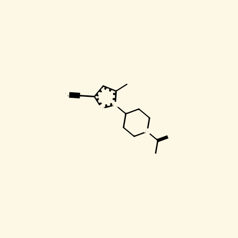 CC(=O)N1CCC(n2nc(C#N)cc2C)CC1